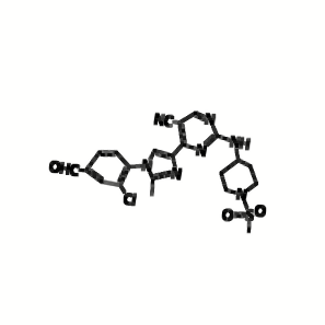 Cc1nc(-c2nc(NC3CCN(S(C)(=O)=O)CC3)ncc2C#N)cn1-c1ccc(C=O)cc1Cl